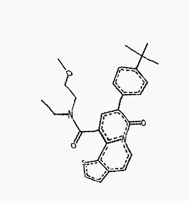 CCN(CCOC)C(=O)c1cc(-c2ccc(C(C)(C)C)cc2)c(=O)n2ccc3ccsc3c12